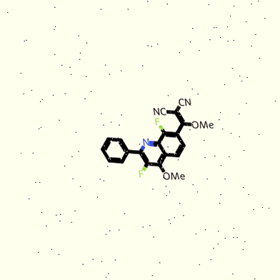 COC(=C(C#N)C#N)c1ccc2c(OC)c(F)c(-c3ccccc3)nc2c1F